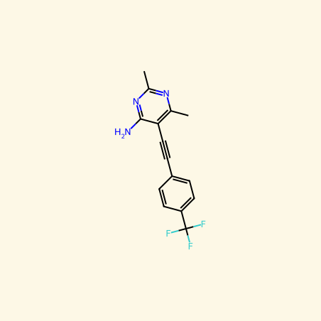 Cc1nc(C)c(C#Cc2ccc(C(F)(F)F)cc2)c(N)n1